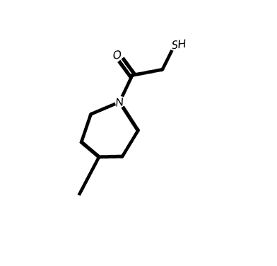 CC1CCN(C(=O)CS)CC1